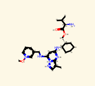 CO[n+]1cccc(CNc2cc(N[C@H]3CCCC[C@H]3COC(=O)[C@H](N)C(C)C)nc3c(C)cnn23)c1